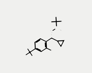 CC(C)(C)[S@+]([O-])N[C@@H](c1ccc(C(F)(F)F)cc1F)C1CC1